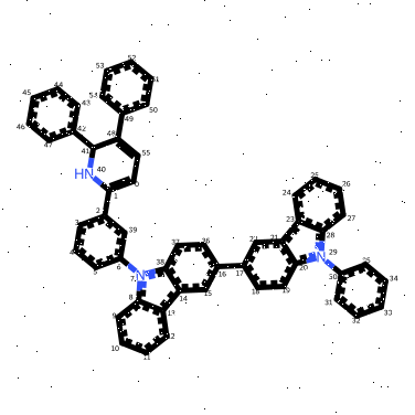 C1=C(c2cccc(-n3c4ccccc4c4cc(-c5ccc6c(c5)c5ccccc5n6-c5ccccc5)ccc43)c2)NC(c2ccccc2)C(c2ccccc2)=C1